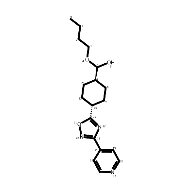 CCCCOC(O)[C@H]1CC[C@H](c2nc(-c3ccncc3)no2)CC1